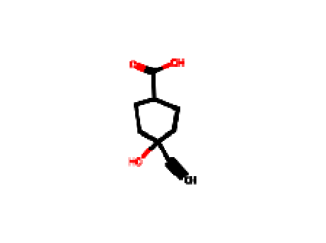 C#CC1(O)CCC(C(=O)O)CC1